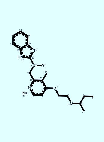 CCC(C)OCCOc1ccnc(C[S+]([O-])c2nc3ccccc3[nH]2)c1C.[Na]